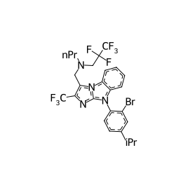 CCCN(Cc1c(C(F)(F)F)nc2n(-c3ccc(C(C)C)cc3Br)c3ccccc3n12)CC(F)(F)C(F)(F)F